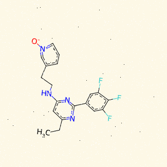 CCc1cc(NCCc2ccc[n+]([O-])c2)nc(-c2cc(F)c(F)c(F)c2)n1